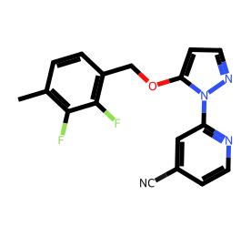 Cc1ccc(COc2ccnn2-c2cc(C#N)ccn2)c(F)c1F